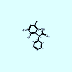 Cc1cc(F)c(F)c2c1[nH]c(=O)n2-c1ccccc1